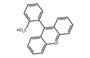 O=C(O)c1ccccc1-c1c2ccccc2[o+]c2ccccc12